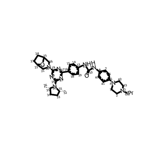 CC(C)N1CCN(c2ccc(NC(=O)Nc3ccc(-c4nc(N5CC6CCC(C5)O6)nc(N5[C@H](C)CC[C@@H]5C)n4)cc3)cc2)CC1